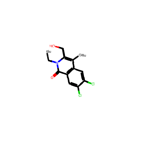 CC(C)COc1c(CO)n(CC(C)(C)C)c(=O)c2cc(Cl)c(Cl)cc12